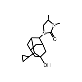 CC1CN(C2C3CC4CC2C(C2CC2)C(O)(C4)C3)C(=O)N1C